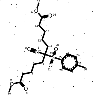 [C-]#[N+]C(CCCCC(=O)OC)(CCCCC(=O)OC)S(=O)(=O)c1ccc(C)cc1